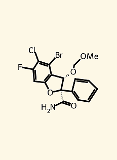 COCO[C@H]1c2c(cc(F)c(Cl)c2Br)O[C@]1(C(N)=O)c1ccccc1